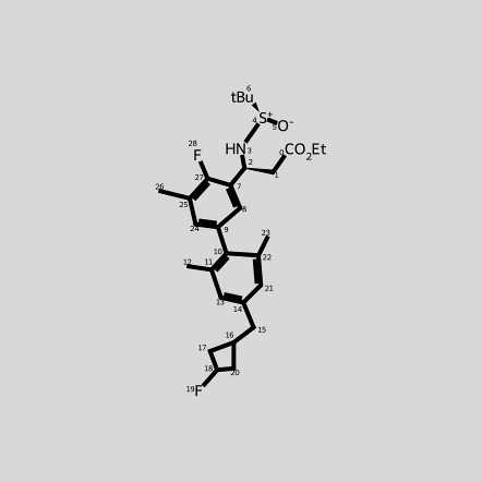 CCOC(=O)C[C@H](N[S@+]([O-])C(C)(C)C)c1cc(-c2c(C)cc(CC3CC(F)C3)cc2C)cc(C)c1F